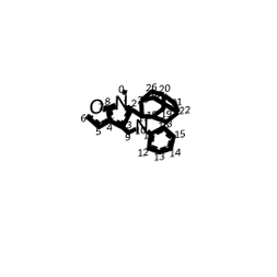 Cn1c2c(c3ccoc31)CN(c1ccccc1)C21C2CC3CC(C2)CC1C3